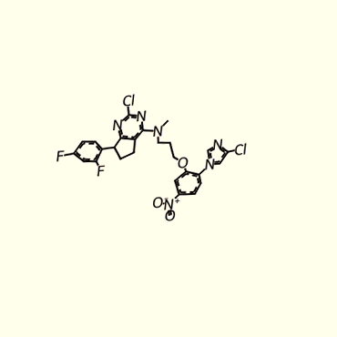 CN(CCCOc1cc([N+](=O)[O-])ccc1-n1cnc(Cl)c1)c1nc(Cl)nc2c1CCC2c1ccc(F)cc1F